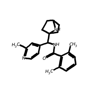 Cc1cc(C(NC(=O)c2c(C)cccc2C)C23CCC(CC2)N3)ccn1